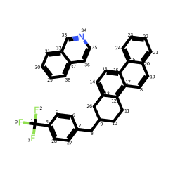 FC(F)(F)c1ccc(CC2CCc3c(ccc4c3ccc3ccccc34)C2)cc1.c1ccc2cnccc2c1